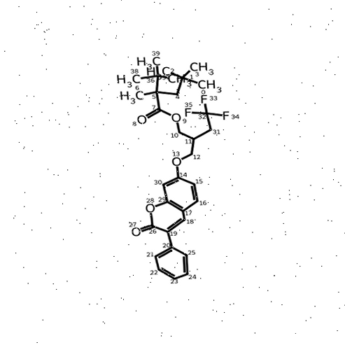 CC(C)(C)CC(C)(C(=O)OCC(COc1ccc2cc(-c3ccccc3)c(=O)oc2c1)CC(F)(F)F)C(C)(C)C